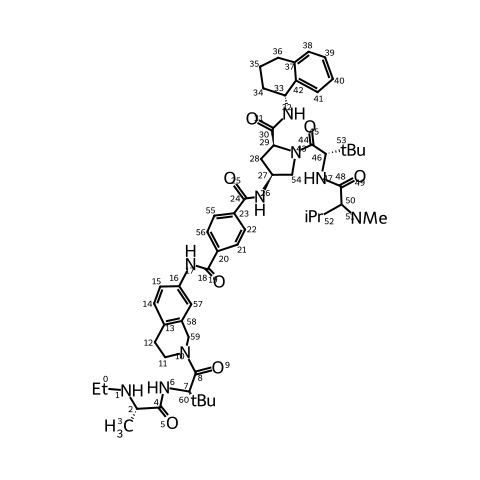 CCN[C@@H](C)C(=O)N[C@H](C(=O)N1CCc2ccc(NC(=O)c3ccc(C(=O)N[C@H]4C[C@@H](C(=O)N[C@@H]5CCCc6ccccc65)N(C(=O)[C@@H](NC(=O)C(NC)C(C)C)C(C)(C)C)C4)cc3)cc2C1)C(C)(C)C